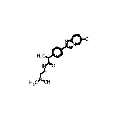 CC(C(=O)NCCN(C)C)c1ccc(-c2cn3cc(Cl)ccc3n2)cc1